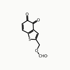 O=[C]OCc1cc2c(s1)C=CC(=O)C2=O